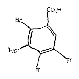 O=C(O)c1cc(Br)c(Br)c(O)c1Br